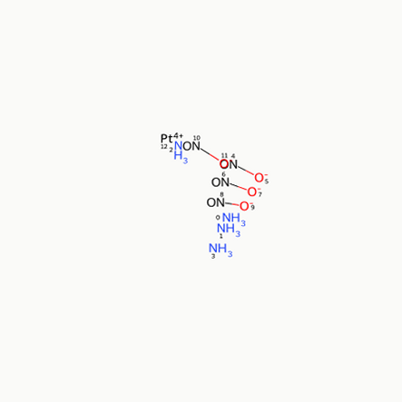 N.N.N.N.O=N[O-].O=N[O-].O=N[O-].O=N[O-].[Pt+4]